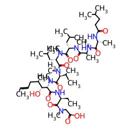 C/C=C/C[C@@H](C)[C@@H](O)[C@@H](C(=O)N[C@@H](CC)C(=O)N(C)CC(=O)O)N(C)C(=O)[C@H](C(C)C)N(C)C(=O)[C@H](CC(C)C)N(C)C(=O)[C@H](CC(C)C)N(C)C(=O)C(C)NC(=O)[C@@H](C)NC(=O)CCC(C)C